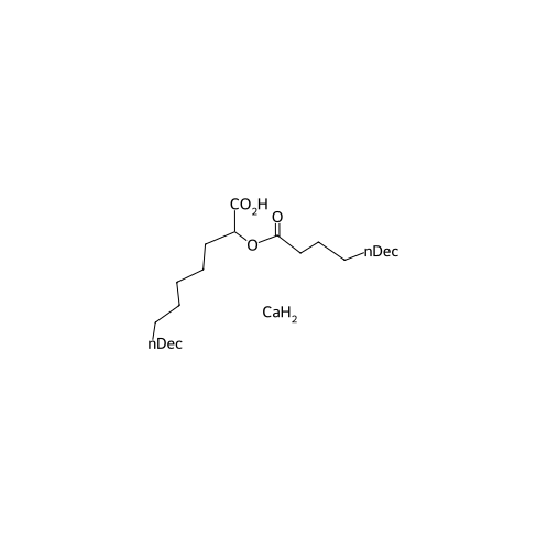 CCCCCCCCCCCCCCCC(OC(=O)CCCCCCCCCCCCC)C(=O)O.[CaH2]